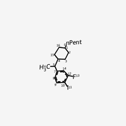 CCCCCC1CCC(C(C)c2ccc(I)c(F)c2)CC1